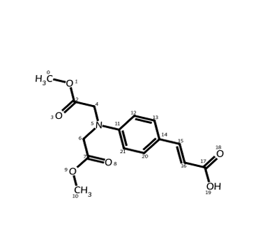 COC(=O)CN(CC(=O)OC)c1ccc(/C=C/C(=O)O)cc1